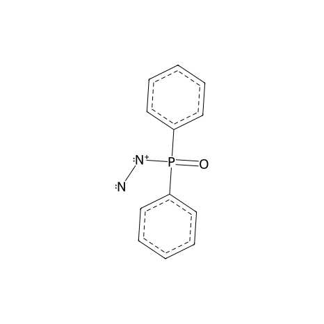 [N][N+]P(=O)(c1ccccc1)c1ccccc1